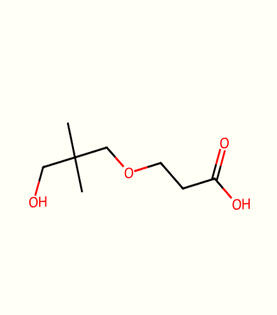 CC(C)(CO)COCCC(=O)O